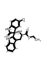 CCOC(=O)[C@H]1Cc2c([nH]c3ccccc23)[C@]2(N1)C(=O)Nc1ccc(Cl)cc12